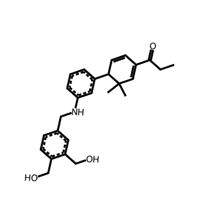 CCC(=O)C1=CC(C)(C)C(c2cccc(NCc3ccc(CO)c(CO)c3)c2)C=C1